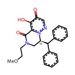 COCCN1C[C@H](C(c2ccccc2)c2ccccc2)n2ncc(=O)c(O)c2C1=O